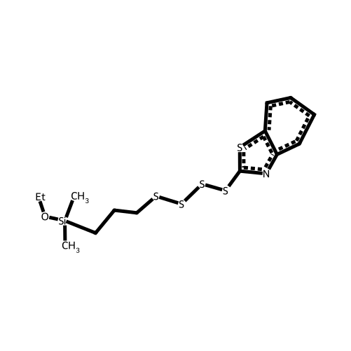 CCO[Si](C)(C)CCCSSSSc1nc2ccccc2s1